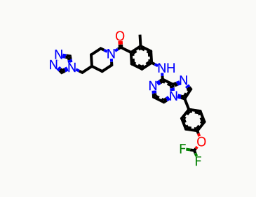 Cc1cc(Nc2nccn3c(-c4ccc(OC(F)F)cc4)cnc23)ccc1C(=O)N1CCC(Cn2cnnc2)CC1